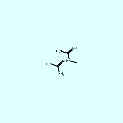 CNC(=N)N.N=C(N)N